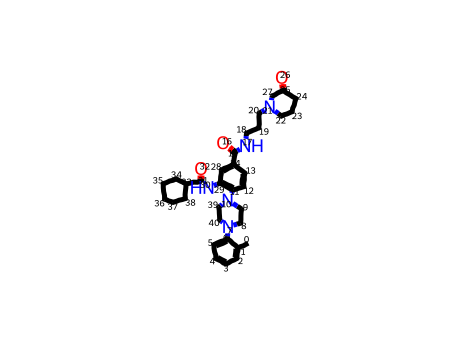 Cc1ccccc1N1CCN(c2ccc(C(=O)NCCCN3CCCC(=O)C3)cc2NC(=O)C2CCCCC2)CC1